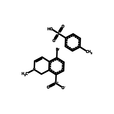 CN1C=Cc2c(Br)ccc([N+](=O)[O-])c2C1.Cc1ccc(S(=O)(=O)O)cc1